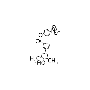 Cc1cc(-c2cccc(C3OC3Oc3ccc([N+](=O)[O-])cc3)c2)cc(C)c1O